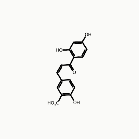 O=C(O)c1cc(/C=C\C(=O)c2ccc(O)cc2O)ccc1O